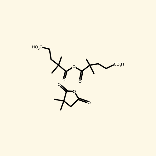 CC(C)(CCC(=O)O)C(=O)OC(=O)C(C)(C)CCC(=O)O.CC1(C)CC(=O)OC1=O